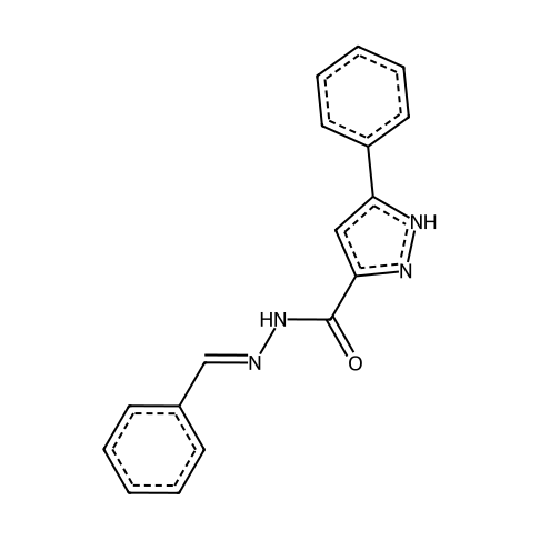 O=C(NN=Cc1ccccc1)c1cc(-c2ccccc2)[nH]n1